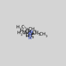 CCCCCC(C)(C)c1nc(C(C)(C)CCCC)c(C(C)(C)CC)[nH]1